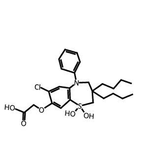 CCCCC1(CCCC)CN(c2ccccc2)c2cc(Cl)c(OCC(=O)O)cc2S(O)(O)C1